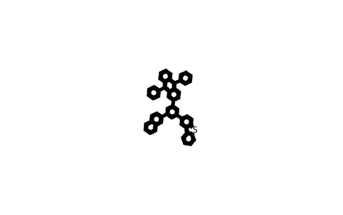 c1ccc(-c2c3ccccc3c(-c3ccccc3)c3cc(-c4cc(-c5ccc6ccccc6c5)cc(-c5ccc6sc7ccccc7c6c5)c4)ccc23)cc1